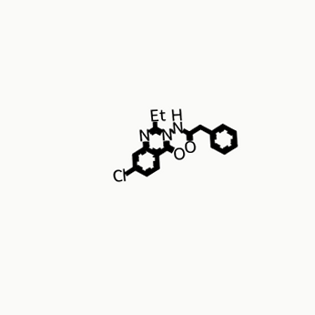 CCc1nc2cc(Cl)ccc2c(=O)n1NC(=O)Cc1ccccc1